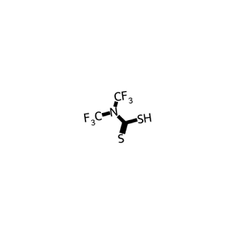 FC(F)(F)N(C(=S)S)C(F)(F)F